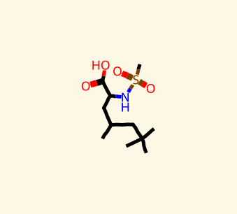 CC(CC(NS(C)(=O)=O)C(=O)O)CC(C)(C)C